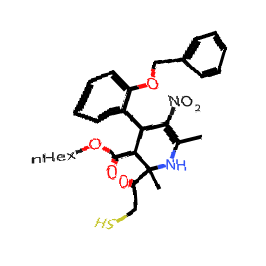 CCCCCCOC(=O)C1C(c2ccccc2OCc2ccccc2)C([N+](=O)[O-])=C(C)NC1(C)C(=O)CS